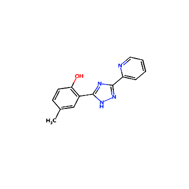 Cc1ccc(O)c(-c2nc(-c3ccccn3)n[nH]2)c1